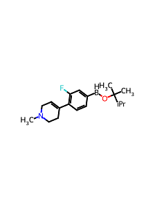 CC(C)C(C)(C)OBc1ccc(C2=CCN(C)CC2)c(F)c1